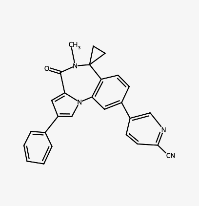 CN1C(=O)c2cc(-c3ccccc3)cn2-c2cc(-c3ccc(C#N)nc3)ccc2C12CC2